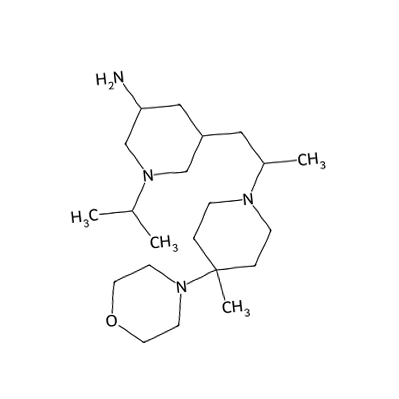 CC(C)N1CC(N)CC(CC(C)N2CCC(C)(N3CCOCC3)CC2)C1